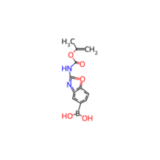 C=C(C)OC(=O)Nc1nc2cc(B(O)O)ccc2o1